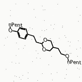 CCCCCOCCC1COC(CCc2ccc(OCCCCC)cc2)OC1